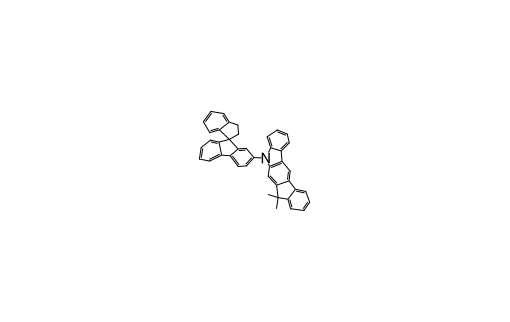 CC1(C)c2ccccc2-c2cc3c4ccccc4n(-c4ccc5c(c4)C4(CCc6ccccc64)c4ccccc4-5)c3cc21